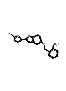 CC(C)(C)c1csc(-c2cc3cc(OCc4ccccc4C(=O)O)ccc3o2)n1